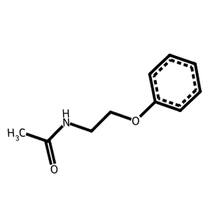 CC(=O)NCCOc1ccccc1